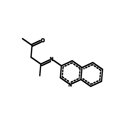 CC(=O)C/C(C)=N/c1cnc2ccccc2c1